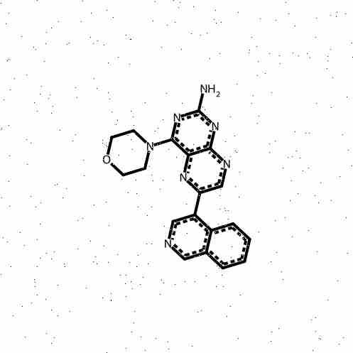 Nc1nc(N2CCOCC2)c2nc(-c3cncc4ccccc34)cnc2n1